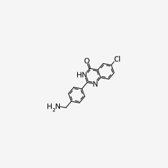 NCc1ccc(-c2nc3ccc(Cl)cc3c(=O)[nH]2)cc1